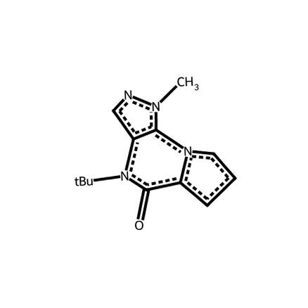 Cn1ncc2c1n1cccc1c(=O)n2C(C)(C)C